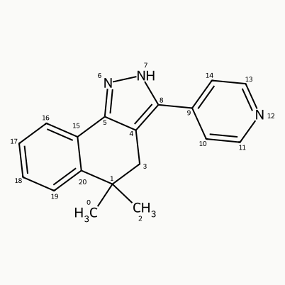 CC1(C)Cc2c(n[nH]c2-c2ccncc2)-c2ccccc21